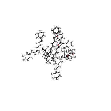 C(=Cc1cc(C=Cc2ccccc2)cc(C23CC4CC(c5cc(C=Cc6ccccc6)cc(C=Cc6ccccc6)c5)(C2)CC(C25CC6CC(c7cc(C=Cc8ccccc8)cc(C=Cc8ccccc8)c7)(CC(c7cc(C=Cc8ccccc8)cc(C=Cc8ccccc8)c7)(C6)C2)C5)(C4)C3)c1)c1ccccc1